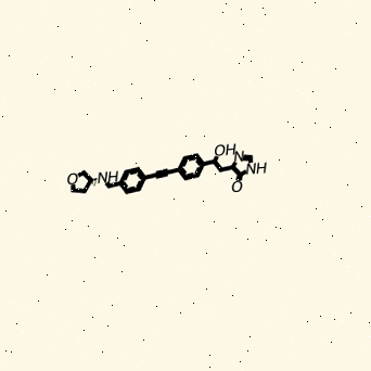 O=C1NC=NC1CC(O)c1ccc(C#Cc2ccc(CN[C@@H]3CCOC3)cc2)cc1